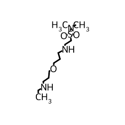 CCNCCCOCCCNCCS(=O)(=O)N(C)C